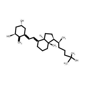 C=C1/C(=C/C=C2\CCC[C@]3(C)[C@@H]2CC[C@H]3[C@@H](C)CCCC(C)(C)O)C[C@@H](O)C[C@@H]1O